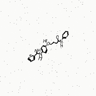 I.N=C(Nc1ccc(OCCCC(=O)Nc2ccccc2)cc1)c1cccs1